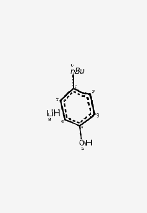 CCCCc1ccc(O)cc1.[LiH]